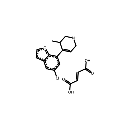 CC1CNCC=C1c1cc(Cl)cc2ccoc12.O=C(O)C=CC(=O)O